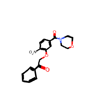 O=C(COc1cc(C(=O)N2CCOCC2)ccc1[N+](=O)[O-])c1ccccc1